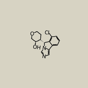 O[C@H]1COCCC1[C@@H]1c2c(Cl)cccc2-c2cncn21